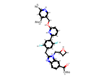 COC(=O)c1ccc2nc(Cc3cc(F)c(-c4cccc(OCc5cnc(C#N)cc5OC)n4)cc3F)n(CC3CCO3)c2c1